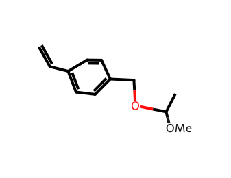 C=Cc1ccc(COC(C)OC)cc1